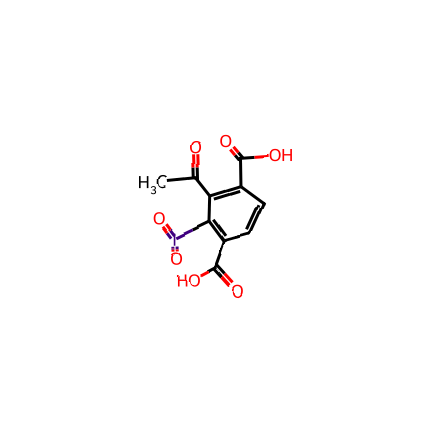 CC(=O)c1c(C(=O)O)ccc(C(=O)O)c1I(=O)=O